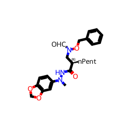 CCCCC[C@H](CN(C=O)OCc1ccccc1)C(=O)NN(C)c1ccc2c(c1)OCO2